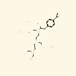 COOCN(CCN(CCN(CC(=O)O)CC(=O)O)CC(=O)O)C(Cc1ccc(C2CO2)cc1)OOC